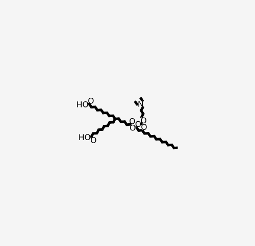 CCCCCCCCCCCCC(CCOC(=O)CCCCC(CCCCCCCCC(=O)O)CCCCCCCCC(=O)O)OC(=O)OCCCCN(CC)CC